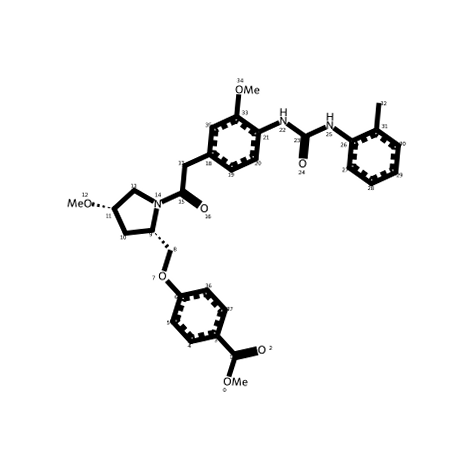 COC(=O)c1ccc(OC[C@@H]2C[C@H](OC)CN2C(=O)Cc2ccc(NC(=O)Nc3ccccc3C)c(OC)c2)cc1